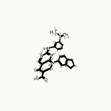 CN(C)c1cccc(Nc2ncc3c(=O)c(C(=O)O)cn(-c4ccc5c(c4)CCC5)c3n2)c1